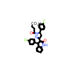 O=C(O)CCC(=O)N1N=C(c2c(-c3ccc(F)cc3)c3ccccc3[nH]c2=O)CC1c1ccc(F)cc1